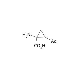 CC(=O)C1CC1(N)C(=O)O